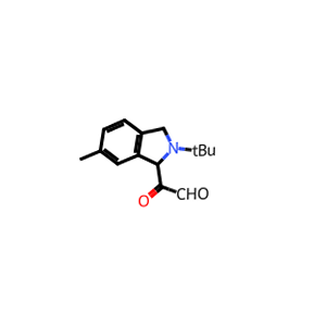 Cc1ccc2c(c1)C(C(=O)C=O)N(C(C)(C)C)C2